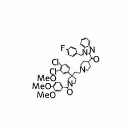 COc1cc(C(=O)N2CCC(CCN3CCC(C(=O)c4nc5ccccc5n4Cc4ccc(F)cc4)CC3)(c3ccc(Cl)c(Cl)c3)C2)cc(OC)c1OC